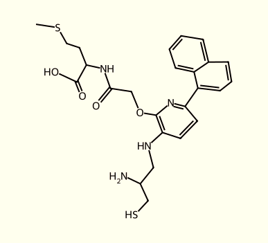 CSCCC(NC(=O)COc1nc(-c2cccc3ccccc23)ccc1NCC(N)CS)C(=O)O